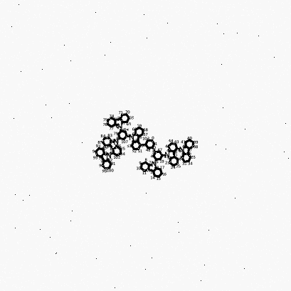 c1cc(-c2cc(-n3c4ccccc4c4ccccc43)cc(-n3c4ccccc4c4c(-n5c6ccccc6c6ccccc65)cccc43)c2)cc(-c2cccc3c2c2ccccc2n3-c2cc(-n3c4ccccc4c4ccccc43)cc(-n3c4ccccc4c4c(-n5c6ccccc6c6ccccc65)cccc43)c2)c1